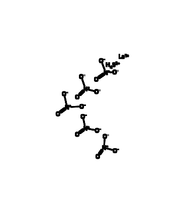 O=[N+]([O-])[O-].O=[N+]([O-])[O-].O=[N+]([O-])[O-].O=[N+]([O-])[O-].O=[N+]([O-])[O-].[La+3].[SH4+2]